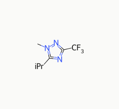 CC(C)c1nc(C(F)(F)F)nn1C